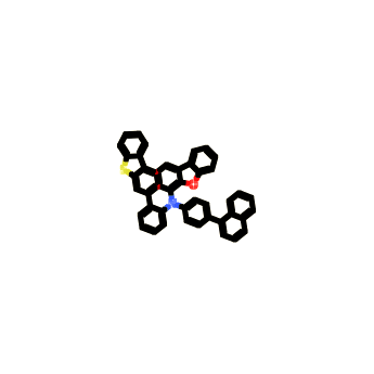 c1ccc(N(c2ccc(-c3cccc4ccccc34)cc2)c2cccc3c2oc2ccccc23)c(-c2ccc3c(c2)sc2ccccc23)c1